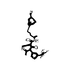 CC1=NC=C(C(=O)NC(C)CCCc2ccc(C#N)cc2)C(=O)C1c1cccc(C(F)(F)F)c1